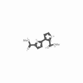 COC(=O)c1ccc(-c2ccsc2C(=O)OC)s1